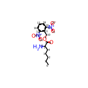 CCCCCC(N)C(=O)OCc1c([N+](=O)[O-])cccc1[N+](=O)[O-]